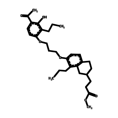 CCCc1c(OCCCOc2ccc3c(c2CCC)CC(CCC(=O)OC)CC3)ccc(C(C)=O)c1O